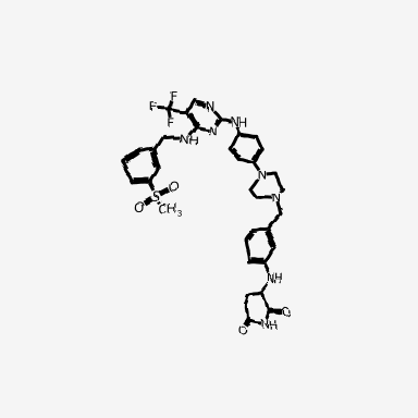 CS(=O)(=O)c1cccc(CNc2nc(Nc3ccc(N4CCN(Cc5cccc(NC6CCC(=O)NC6=O)c5)CC4)cc3)ncc2C(F)(F)F)c1